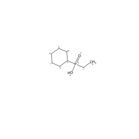 CCP(=O)(O)C1CCCCC1